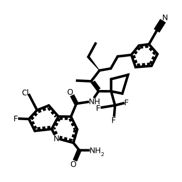 CC[C@@H](CCc1cccc(C#N)c1)/C(C)=C(/NC(=O)c1cc(C(N)=O)nc2cc(F)c(Cl)cc12)C1(C(F)(F)F)CCC1